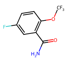 NC(=O)c1cc(F)ccc1OC(F)(F)F